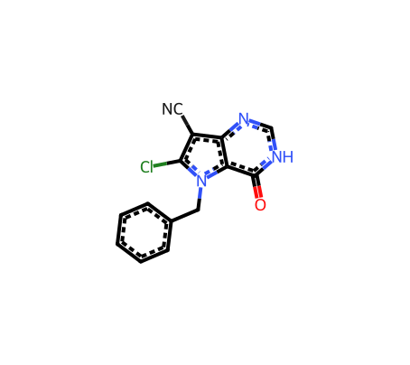 N#Cc1c(Cl)n(Cc2ccccc2)c2c(=O)[nH]cnc12